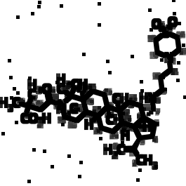 C=C(C)[C@@H]1CC[C@]2(CNCCCN3CCS(=O)(=O)CC3)CC[C@]3(C)[C@H](CC[C@@H]4[C@@]5(C)CCN(C(=O)CC(C)(C)C(=O)O)C(C)(C)[C@@H]5CC[C@]43C)[C@@H]12